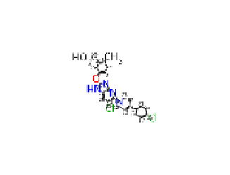 Cc1ccc(Oc2nc3nc(N4CC=C(c5ccc(Cl)cc5)CC4)c(Cl)cc3[nH]2)cc1C(=O)O